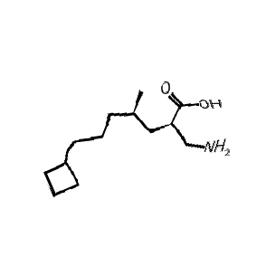 C[C@H](CCCC1CCC1)C[C@H](CN)C(=O)O